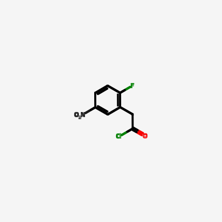 O=C(Cl)Cc1cc([N+](=O)[O-])ccc1F